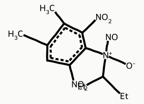 CCC(CC)[N+]([O-])(N=O)c1c([N+](=O)[O-])cc(C)c(C)c1[N+](=O)[O-]